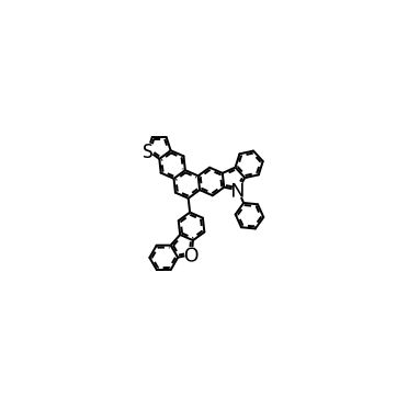 c1ccc(-n2c3ccccc3c3cc4c(cc32)c(-c2ccc3oc5ccccc5c3c2)cc2cc3sccc3cc24)cc1